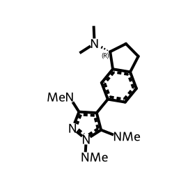 CNc1nn(NC)c(NC)c1-c1ccc2c(c1)[C@H](N(C)C)CC2